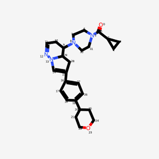 O=C(C1CC1)N1CCN(C2CC=NN3C=C(c4ccc(C5CCOCC5)cc4)CC23)CC1